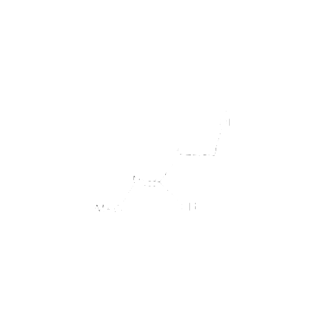 CO/N=C(\C)CCO